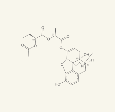 CC[C@H](OC(C)=O)C(=O)O[C@@H](C)C(=O)OC1=CC[C@@]2(O)[C@H]3Cc4ccc(O)c5c4C2(CCN3C)C1O5